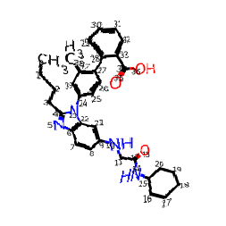 CCCCc1nc2ccc(NCC(=O)NC3CCCCC3)cc2n1-c1ccc(-c2ccccc2C(=O)O)c(C)c1